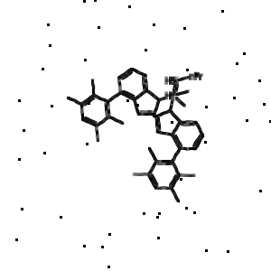 CCC[SiH]=[Hf]([CH3])([CH3])([CH]1C=Cc2c(-c3c(C)c(C)cc(C)c3C)cccc21)[CH]1C=Cc2c(-c3c(C)c(C)cc(C)c3C)cccc21